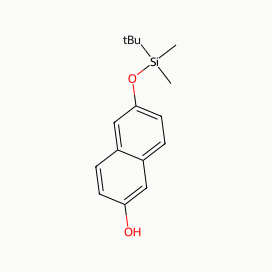 CC(C)(C)[Si](C)(C)Oc1ccc2cc(O)ccc2c1